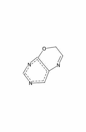 C1=Nc2cncnc2OC1